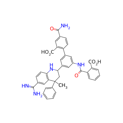 CC1(c2ccccc2)CC(c2cc(NC(=O)c3ccccc3C(=O)O)cc(-c3ccc(C(N)=O)cc3C(=O)O)c2)Nc2ccc(C(=N)N)cc21